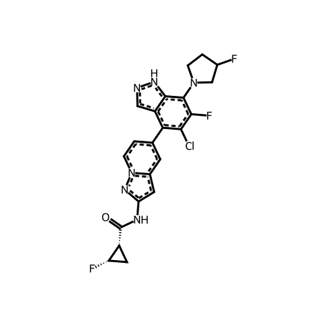 O=C(Nc1cc2cc(-c3c(Cl)c(F)c(N4CCC(F)C4)c4[nH]ncc34)ccn2n1)[C@@H]1C[C@@H]1F